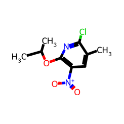 Cc1cc([N+](=O)[O-])c(OC(C)C)nc1Cl